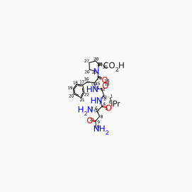 CC(C)C[C@H](NC(=O)[C@@H](N)CC(N)=O)C(=O)N[C@@H](Cc1ccccc1)C(=O)N1CCC[C@@H]1C(=O)O